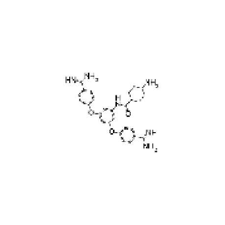 N=C(N)c1ccc(Oc2cc(NC(=O)C3CCC(N)CC3)cc(Oc3ccc(C(=N)N)cc3)c2)cc1